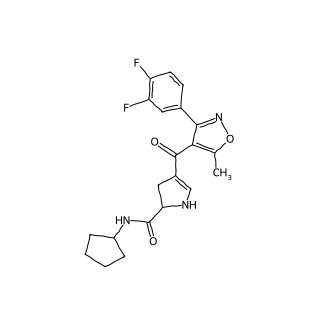 Cc1onc(-c2ccc(F)c(F)c2)c1C(=O)C1=CNC(C(=O)NC2CCCC2)C1